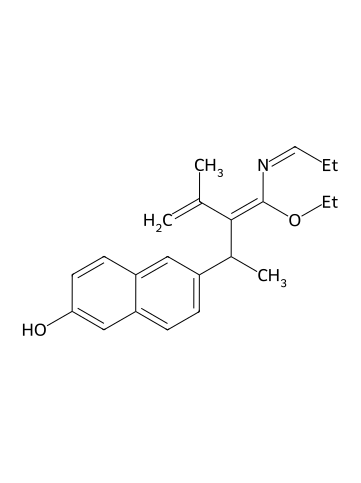 C=C(C)/C(=C(\N=C/CC)OCC)C(C)c1ccc2cc(O)ccc2c1